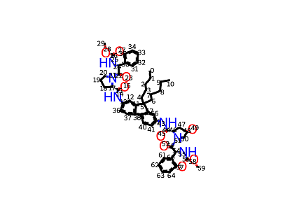 CCCCCC1(CCCCC)c2cc(NC(=O)[C@@H]3CCCN3C(=O)[C@H](NC(=O)OC)c3ccccc3)ccc2-c2ccc(NC(=O)[C@@H]3CC(=O)CN3C(=O)[C@H](NC(=O)OC)c3ccccc3)cc21